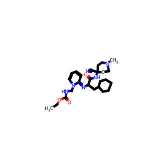 CCOC(=O)NCn1cccc/c1=N\C(CC1CCCCC1)C(=O)NC1(C#N)CCN(C)CC1